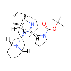 CC(C)(C)OC(=O)N1CCCC1c1nc2ccccc2n1[C@@H]1C[C@H]2CCC[C@@H](C1)N2[C@@H]1C[C@@H]2CCCC[C@@H](C2)C1